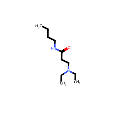 CCCCNC(=O)CCN(CC)CC